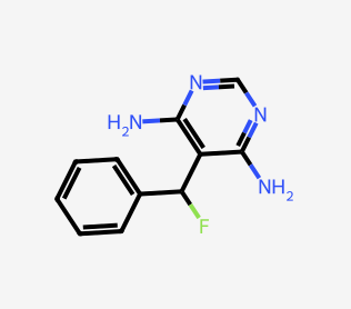 Nc1ncnc(N)c1C(F)c1ccccc1